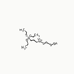 CCO[Si](CCC[SiH2]SSSS)(OCC)OCC